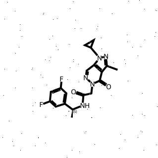 Cc1nn(C2CC2)c2cnn(CC(=O)N[C@@H](C)c3cc(F)cc(F)c3)c(=O)c12